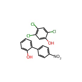 O=[N+]([O-])c1ccc(-c2ccccc2O)cc1.Oc1cc(Cl)c(Cl)cc1Cl